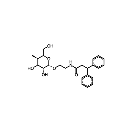 C[C@H]1C(CO)O[C@H](OCCNC(=O)CC(c2ccccc2)c2ccccc2)[C@H](O)C1O